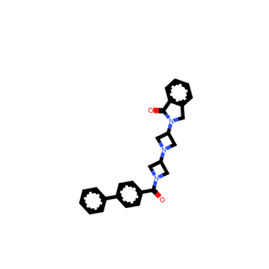 O=C(c1ccc(-c2ccccc2)cc1)N1CC(N2CC(N3Cc4ccccc4C3=O)C2)C1